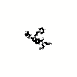 CC(C)CCN(CCC(C)C)C(=O)c1ccc2nc(NCc3ccoc3)n(CCCN3CCCCC3)c2c1